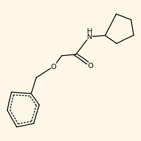 O=C(COCc1ccccc1)NC1CCCC1